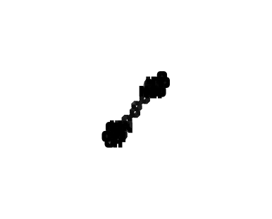 COC(=O)N[C@H](C(=O)N1CCC[C@H]1c1nc2cc(-c3ccc4cc(-c5ccc6[nH]c([C@@H]7CCCN7C(=O)[C@@H](NC(=O)O)[C@@H](C)OC)nc6c5)ccc4c3)ccc2[nH]1)[C@@H](C)OC